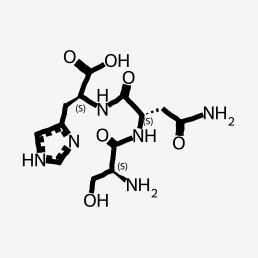 NC(=O)C[C@H](NC(=O)[C@@H](N)CO)C(=O)N[C@@H](Cc1c[nH]cn1)C(=O)O